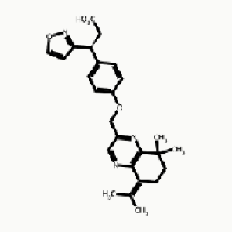 CC(C)=C1CCC(C)(C)c2nc(COc3ccc([C@H](CC(=O)O)c4ccon4)cc3)cnc21